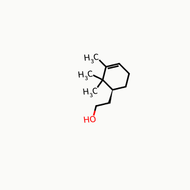 CC1=CCC[C@@H](CCO)C1(C)C